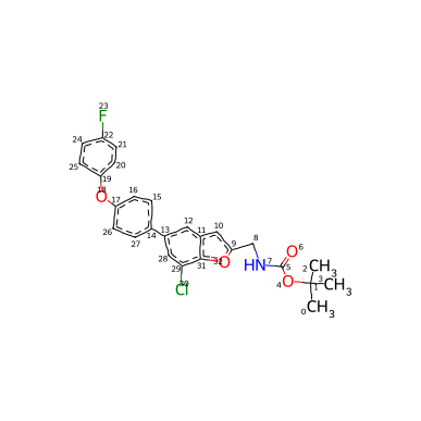 CC(C)(C)OC(=O)NCc1cc2cc(-c3ccc(Oc4ccc(F)cc4)cc3)cc(Cl)c2o1